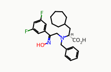 O=C(O)[C@@H](CC1CCCCCC1)N(CC(=NO)c1cc(F)cc(F)c1)Cc1ccccc1